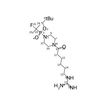 CC(C)(C)COP(=O)(N1CCN(C(=O)CCCCCNC(=N)N)CC1)C(C)(C)F